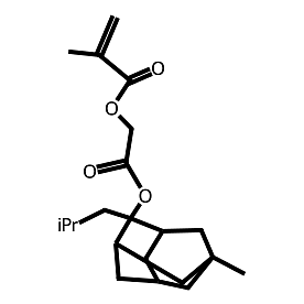 C=C(C)C(=O)OCC(=O)OC1(CC(C)C)C2CC3CC1CC(C)(C3)C2